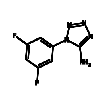 Nc1nnnn1-c1cc(F)cc(F)c1